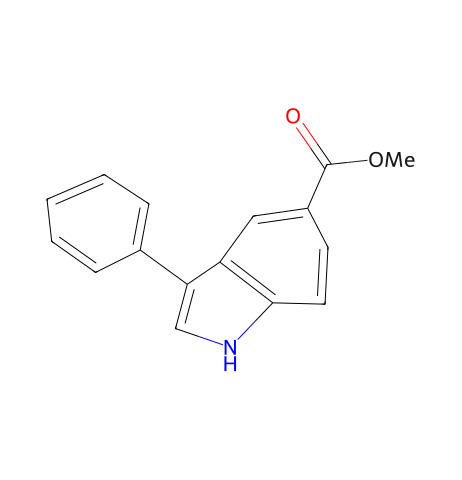 COC(=O)c1ccc2[nH]cc(-c3ccccc3)c2c1